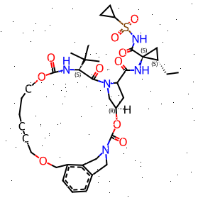 CC[C@H]1C[C@@]1(NC(=O)C1C[C@@H]2CN1C(=O)[C@H](C(C)(C)C)NC(=O)OCCCCCCOCc1cccc3c1CN(C3)C(=O)O2)C(=O)NS(=O)(=O)C1CC1